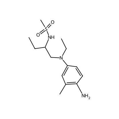 CCC(CN(CC)c1ccc(N)c(C)c1)NS(C)(=O)=O